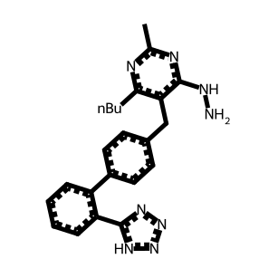 CCCCc1nc(C)nc(NN)c1Cc1ccc(-c2ccccc2-c2nnn[nH]2)cc1